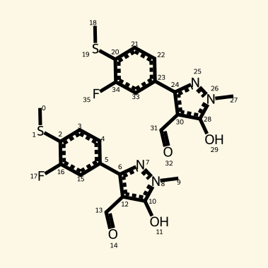 CSc1ccc(-c2nn(C)c(O)c2C=O)cc1F.CSc1ccc(-c2nn(C)c(O)c2C=O)cc1F